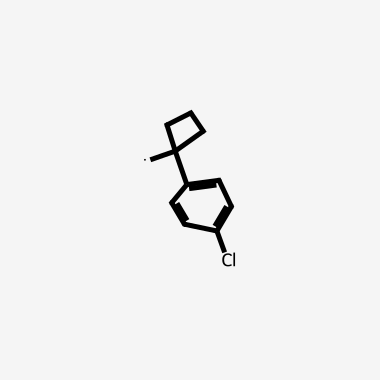 [CH2]C1(c2ccc(Cl)cc2)CCC1